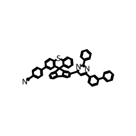 N#Cc1ccc(-c2ccc3c(c2)C2(c4ccccc4S3)c3ccccc3-c3ccc(-c4cc(-c5cccc(-c6ccccc6)c5)nc(-c5ccccc5)n4)cc32)cc1